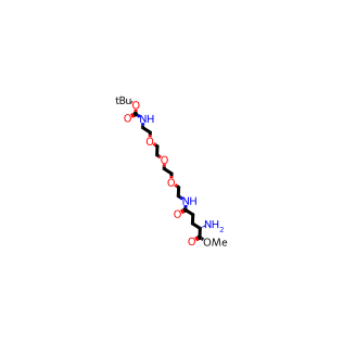 COC(=O)[C@@H](N)CCC(=O)NCCOCCOCCOCCNC(=O)OC(C)(C)C